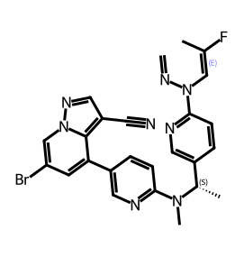 C=NN(/C=C(\C)F)c1ccc([C@H](C)N(C)c2ccc(-c3cc(Br)cn4ncc(C#N)c34)cn2)cn1